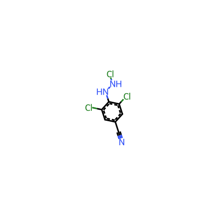 N#Cc1cc(Cl)c(NNCl)c(Cl)c1